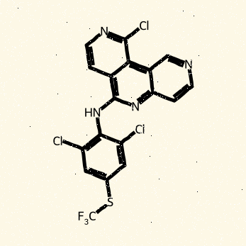 FC(F)(F)Sc1cc(Cl)c(Nc2nc3ccncc3c3c(Cl)nccc23)c(Cl)c1